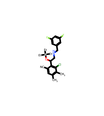 CC[Si](CC)(CC)OC(CNCc1cc(F)cc(F)c1)c1c(C#N)cc(C)c(C)c1Cl